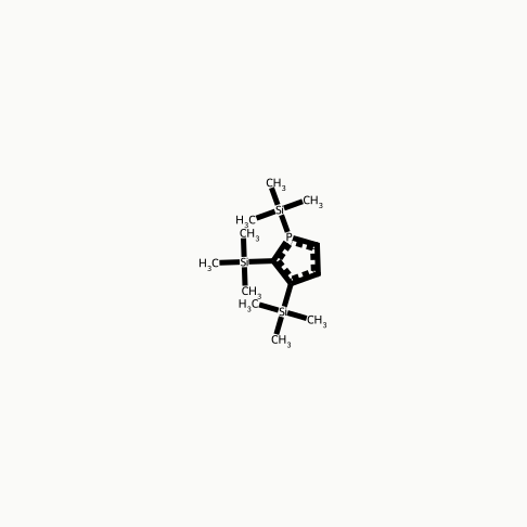 C[Si](C)(C)c1ccp([Si](C)(C)C)c1[Si](C)(C)C